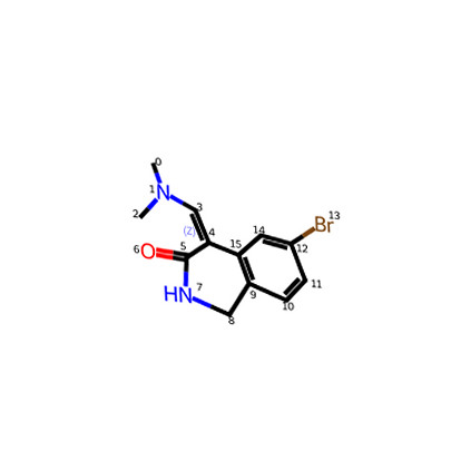 CN(C)/C=C1\C(=O)NCc2ccc(Br)cc21